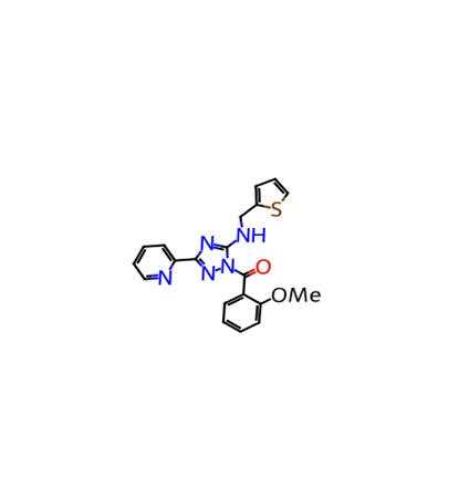 COc1ccccc1C(=O)n1nc(-c2ccccn2)nc1NCc1cccs1